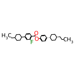 CCC[C@H]1CC[C@H](c2ccc(OC(=O)c3ccc(C4CCC(CC)CC4)cc3F)cc2)CC1